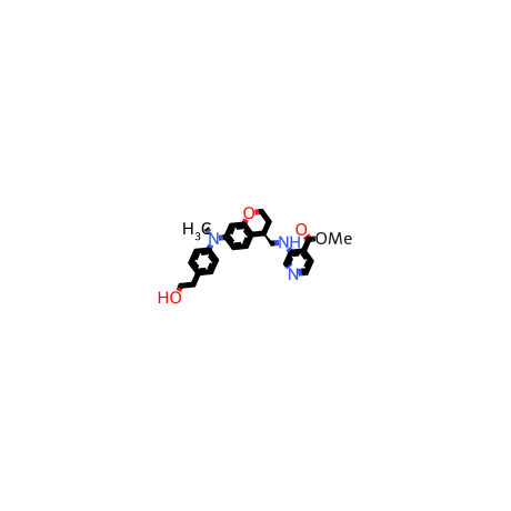 COC(=O)c1ccncc1NC[C@@H]1CCOc2cc(N(C)c3ccc(CCO)cc3)ccc21